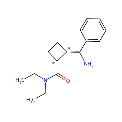 CCN(CC)C(=O)[C@@H]1CC[C@@H]1C(N)c1ccccc1